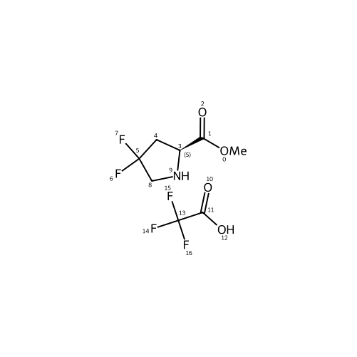 COC(=O)[C@@H]1CC(F)(F)CN1.O=C(O)C(F)(F)F